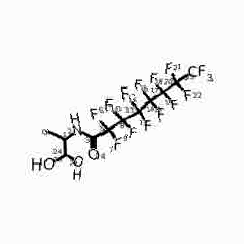 CC(NC(=O)C(F)(F)C(F)(F)C(F)(F)C(F)(F)C(F)(F)C(F)(F)C(F)(F)F)C(O)O